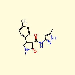 Cc1cc(NC(=O)[C@@H]2C(=O)N(C)C[C@H]2c2ccc(C(F)(F)F)cc2)n[nH]1